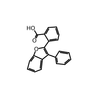 O=C(O)c1ccccc1-c1oc2ccccc2c1-c1ccccc1